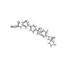 CCC(CC)(c1ccc(-c2cncc(CC(=O)OC)c2)cc1)c1ccc(CCC2(O)CCCC2)c(C)c1